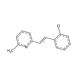 Cc1cccc(/C=C/c2ccccc2Cl)n1